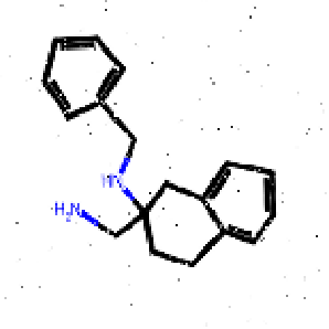 NCC1(NCc2ccccc2)CCc2ccccc2C1